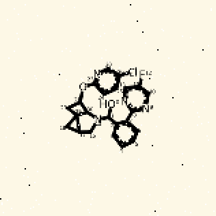 OC(c1ccccc1-c1ncc(F)cn1)N1CC2CC23CC(Oc2ccc(Cl)cn2)C13